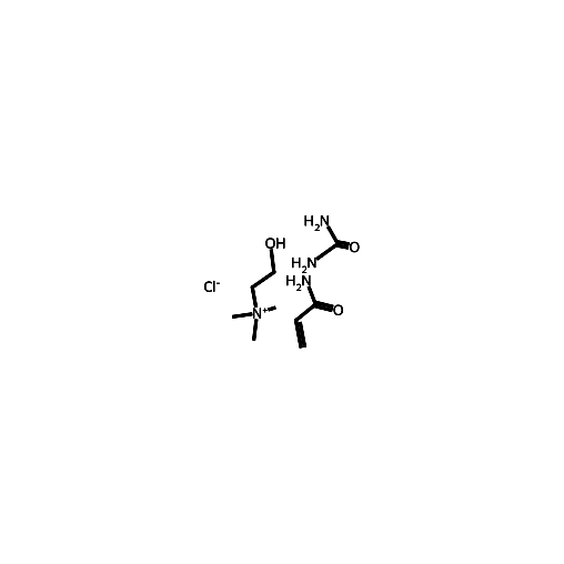 C=CC(N)=O.C[N+](C)(C)CCO.NC(N)=O.[Cl-]